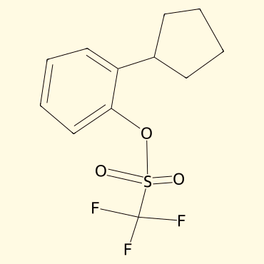 O=S(=O)(Oc1ccccc1C1CCCC1)C(F)(F)F